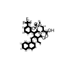 CCc1c(Cc2cccc3ccccc23)c(-c2cccc(C(F)(F)F)c2)c2n(c1=O)C(C(=O)O)CN(C)S2(=O)=O